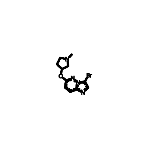 CN1CCC(Oc2ccc3ncc(Br)n3n2)C1